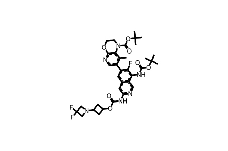 Cc1c(-c2cc3cc(NC(=O)OC4CC(N5CC(F)(F)C5)C4)ncc3c(NC(=O)OC(C)(C)C)c2F)cnc2c1N(C(=O)OC(C)(C)C)CCO2